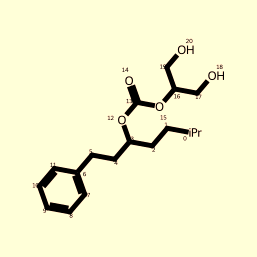 CC(C)CCC(CCc1ccccc1)OC(=O)OC(CO)CO